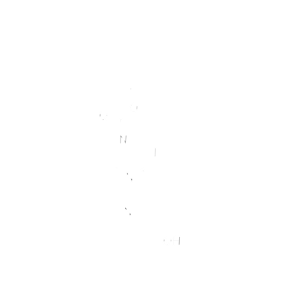 Cc1nc2c(cc1O)C[C@@H]1CN(C(=O)OC(C)(C)C)C[C@@H](C)N21